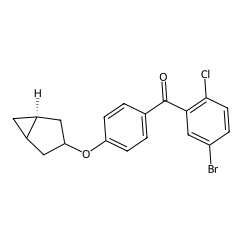 O=C(c1ccc(OC2CC3C[C@H]3C2)cc1)c1cc(Br)ccc1Cl